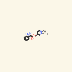 CN1CC[C@H](COC(=O)C(N)c2ccccc2)C1